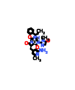 C=C[C@@H](NC(=O)N1C(=O)[C@H](Cc2cc(C)nc(N)c2)[C@H]1C(=O)N(C)C1=NCC(=O)N1C)c1ccccc1